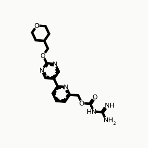 N=C(N)NC(=O)OCc1cccc(-c2cnc(OCC3CCOCC3)nc2)n1